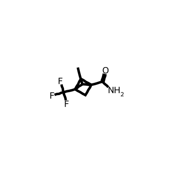 CC1C2(C(N)=O)CC1(C(F)(F)F)C2